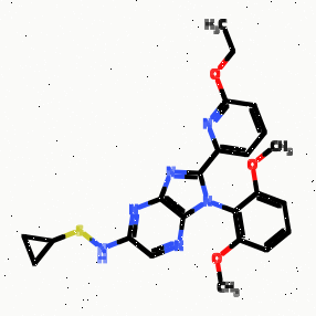 CCOc1cccc(-c2nc3nc(NSC4CC4)cnc3n2-c2c(OC)cccc2OC)n1